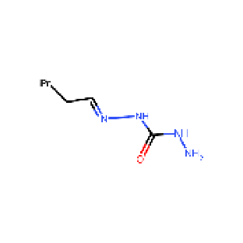 CC(C)C/C=N/NC(=O)NN